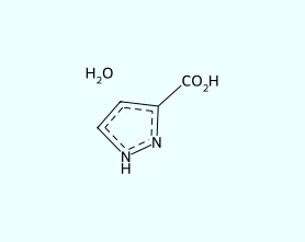 O.O=C(O)c1cc[nH]n1